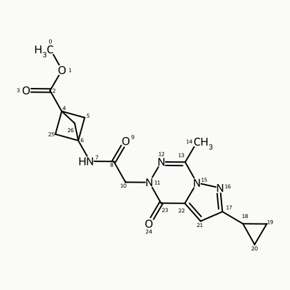 COC(=O)C12CC(NC(=O)Cn3nc(C)n4nc(C5CC5)cc4c3=O)(C1)C2